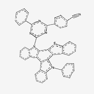 N#Cc1ccc(-c2nc(-c3ccccc3)nc(-n3c4ccccc4c4c5c6ccccc6n(-c6ccccc6)c5c5c6ccccc6sc5c43)n2)cc1